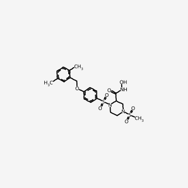 Cc1ccc(C)c(COc2ccc(S(=O)(=O)N3CCN(S(C)(=O)=O)CC3C(=O)NO)cc2)c1